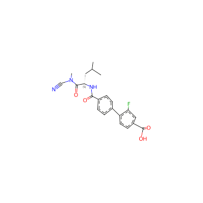 CC(C)C[C@H](NC(=O)c1ccc(-c2ccc(C(=O)O)cc2F)cc1)C(=O)N(C)C#N